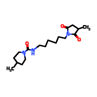 CC1CCN(C(=O)NCCCCCCN2C(=O)CC(C)C2=O)CC1